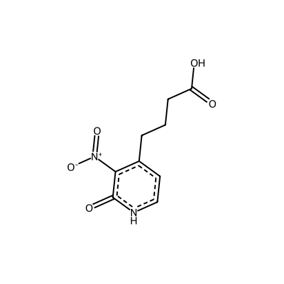 O=C(O)CCCc1cc[nH]c(=O)c1[N+](=O)[O-]